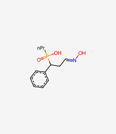 CCCP(=O)(O)C(CC=NO)c1ccccc1